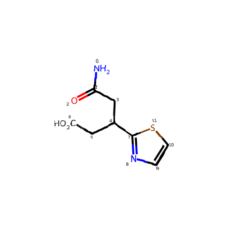 NC(=O)CC(CC(=O)O)c1nccs1